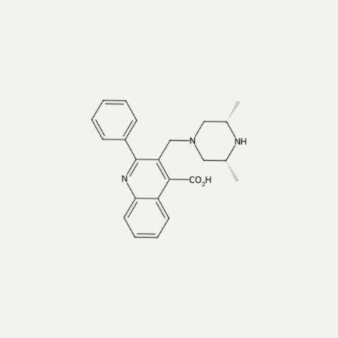 C[C@@H]1CN(Cc2c(-c3ccccc3)nc3ccccc3c2C(=O)O)C[C@H](C)N1